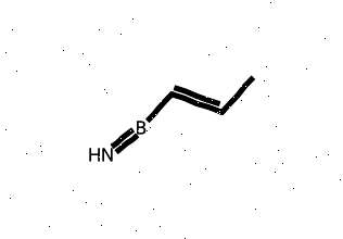 CC=CB=N